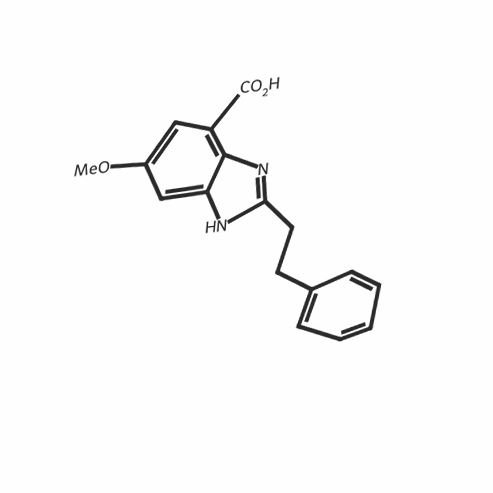 COc1cc(C(=O)O)c2nc(CCc3ccccc3)[nH]c2c1